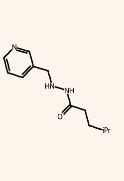 CC(C)CCC(=O)NNCc1cccnc1